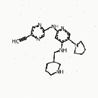 C#Cc1cnc(Nc2cc(NCC3CCCNC3)c(N3CCCC3)cn2)cn1